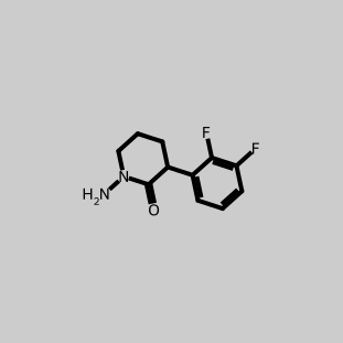 NN1CCCC(c2cccc(F)c2F)C1=O